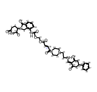 O=C1CCC(N2Cc3c(NC(=O)OCOC(=O)/C=C/C(=O)N4CCN(CCNC=C5C(=O)CC(c6ccccc6)CC5=O)CC4)cccc3C2=O)C(=O)N1